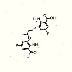 CC(CCOc1cc(F)cc(C(=O)O)c1N)Oc1cc(F)cc(C(=O)O)c1N